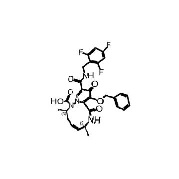 C[C@@H]1CC=C[C@H](C)NC(=O)c2c(OCc3ccccc3)c(=O)c(C(=O)NCc3c(F)cc(F)cc3F)cn2N1C(=O)O